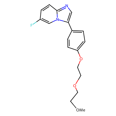 COCCOCCOc1ccc(-c2cnc3ccc(F)cn23)cc1